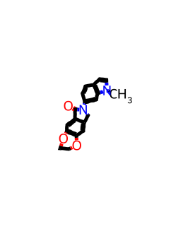 Cn1ccc2ccc(N3Cc4cc5c(cc4C3=O)OCCO5)cc21